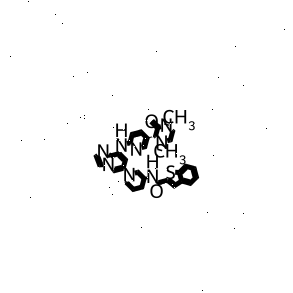 CN1CCN(C)[C@H](c2ccc(Nc3cc(N4CCC[C@H](NC(=O)c5cc6ccccc6s5)C4)cn4ccnc34)nc2)C1=O